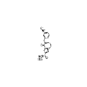 [C-]#[N+]c1cccc(CN2CCCn3cc(C(=O)NO)cc3C2=O)c1